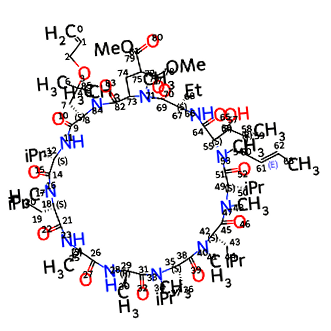 C=CCOC(C)(C)C[C@H]1C(=O)N[C@@H](C(C)C)C(=O)N(C)[C@@H](CC(C)C)C(=O)N[C@@H](C)C(=O)N[C@H](C)C(=O)N(C)[C@@H](CC(C)C)C(=O)N(C)[C@@H](CC(C)C)C(=O)N(C)[C@@H](C(C)C)C(=O)N(C)[C@@H]([C@H](O)[C@H](C)C/C=C/C)C(=O)N[C@@H](CC)C(=O)N(C)C(CC(C(=O)OC)C(=O)OC)C(=O)N1C